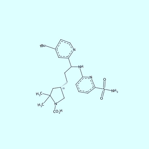 CC(C)(C)c1ccnc(C(CC[C@@H]2CN(C(=O)O)C(C)(C)C2)Nc2cccc(S(N)(=O)=O)n2)c1